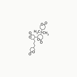 CC(C)(C1CCOC(=O)CC1)C1CCC(=O)OC(C2CC(=O)OCC2CCCC2CCC(=O)OC2)C1